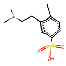 Cc1ccc(S(=O)(=O)O)cc1CCN(C)C